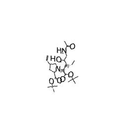 C=CC1CC(C(=O)OC(C)(C)C)N([C@@H](C(=O)OC(C)(C)C)[C@@H](CC)C(O)CNC(C)=O)C1